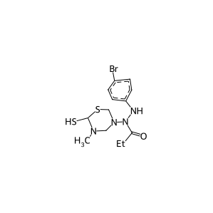 CCC(=O)N(Nc1ccc(Br)cc1)N1CSC(S)N(C)C1